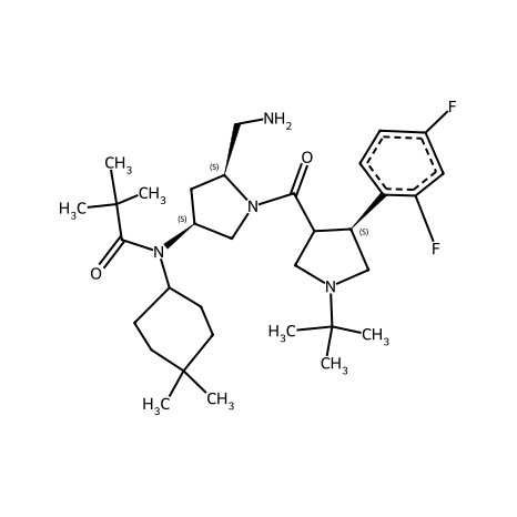 CC1(C)CCC(N(C(=O)C(C)(C)C)[C@H]2C[C@@H](CN)N(C(=O)C3CN(C(C)(C)C)C[C@@H]3c3ccc(F)cc3F)C2)CC1